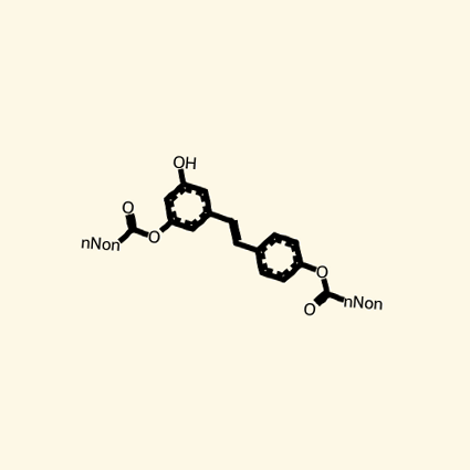 CCCCCCCCCC(=O)Oc1ccc(C=Cc2cc(O)cc(OC(=O)CCCCCCCCC)c2)cc1